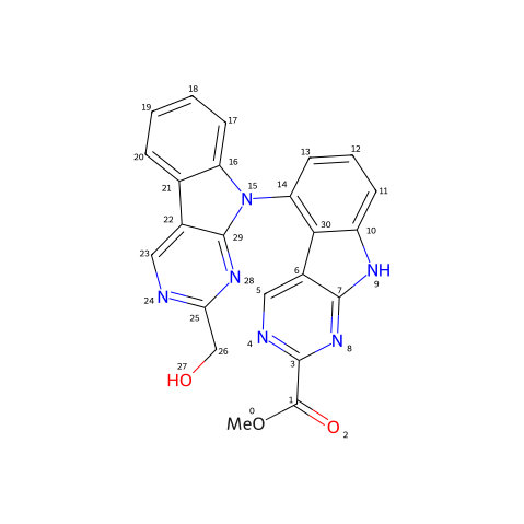 COC(=O)c1ncc2c(n1)[nH]c1cccc(-n3c4ccccc4c4cnc(CO)nc43)c12